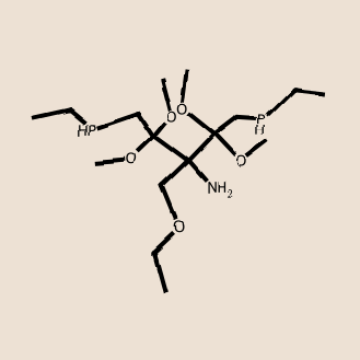 CCOCC(N)(C(CPCC)(OC)OC)C(CPCC)(OC)OC